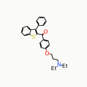 CCN(CC)CCCOc1ccc(C(=O)c2sc3ccccc3c2-c2ccccc2)cc1